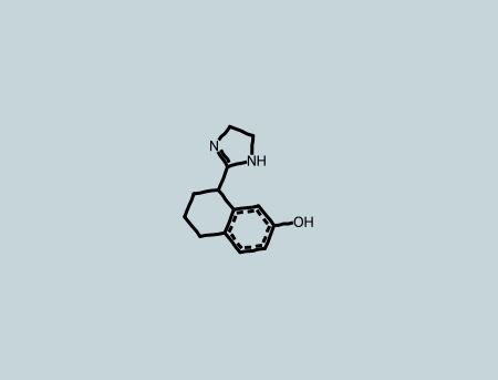 Oc1ccc2c(c1)C(C1=NCCN1)CCC2